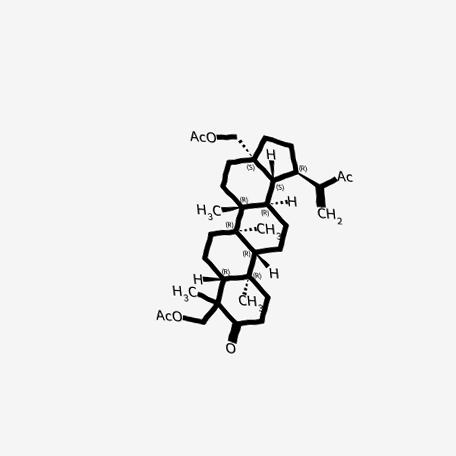 C=C(C(C)=O)[C@@H]1CC[C@]2(COC(C)=O)CC[C@]3(C)[C@H](CC[C@@H]4[C@@]5(C)CCC(=O)C(C)(COC(C)=O)[C@@H]5CC[C@]43C)[C@@H]12